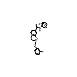 O=C(N[C@H]1CN2CCC1CC2)c1ccc2c(c1)O[C@@H](COc1cccc(F)c1)CO2